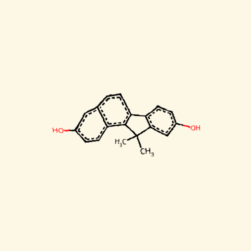 CC1(C)c2cc(O)ccc2-c2ccc3cc(O)ccc3c21